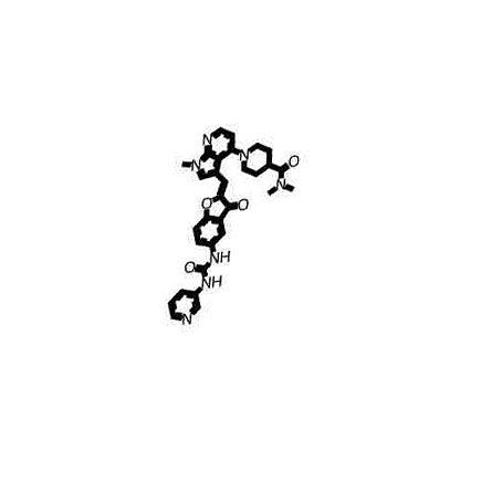 CN(C)C(=O)C1CCN(c2ccnc3c2c(C=C2Oc4ccc(NC(=O)Nc5cccnc5)cc4C2=O)cn3C)CC1